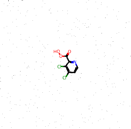 O=C(OO)c1nccc(Cl)c1Cl